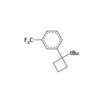 CC(C)(C)C1(c2cccc(C(F)(F)F)c2)CCC1